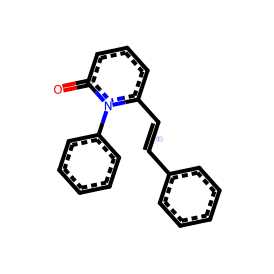 O=c1cccc(/C=C/c2ccccc2)n1-c1ccccc1